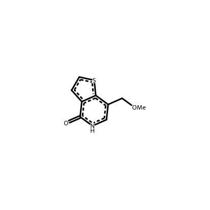 COCc1c[nH]c(=O)c2ccsc12